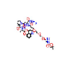 C[C@H](NC(=O)[C@@H]1CCCN1C(=O)C[C@H](NC(=O)CCOCCOCCOCCNC(=O)OC(C)(C)C)C(N)=O)C(=O)Oc1ccnc2ccccc12